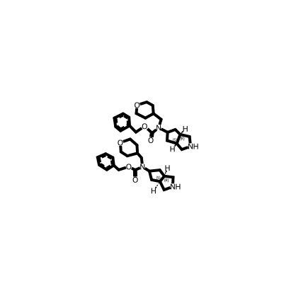 O=C(OCc1ccccc1)N(CC1CCOCC1)C1C[C@H]2CNC[C@H]2C1.O=C(OCc1ccccc1)N(CC1CCOCC1)C1C[C@H]2CNC[C@H]2C1